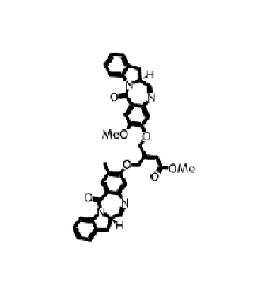 COC(=O)/C=C(\COc1cc2c(cc1C)C(=O)N1c3ccccc3C[C@H]1C=N2)COc1cc2c(cc1OC)C(=O)N1c3ccccc3C[C@H]1C=N2